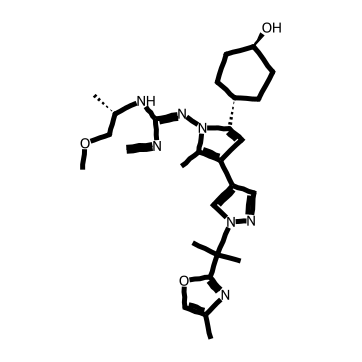 C=N/C(=N\n1c(C)c(-c2cnn(C(C)(C)c3nc(C)co3)c2)cc1[C@H]1CC[C@H](O)CC1)N[C@@H](C)COC